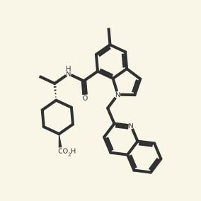 Cc1cc(C(=O)NC(C)[C@H]2CC[C@H](C(=O)O)CC2)c2c(ccn2Cc2ccc3ccccc3n2)c1